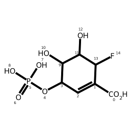 O=C(O)C1=CC(OP(=O)(O)O)C(O)C(O)C1F